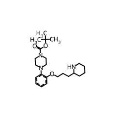 CC(C)(C)OC(=O)N1CCN(c2ccccc2OCCCC2CCCCN2)CC1